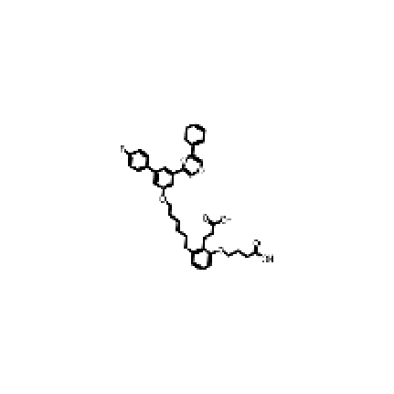 O=C(O)CCCOc1cccc(CCCCCCOc2cc(C3=COC=C(C4=CC=CCC4)O3)cc(-c3ccc(F)cc3)c2)c1CCC(=O)O